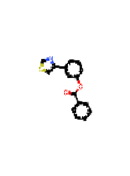 O=C(Oc1cccc(-c2cscn2)c1)c1ccccc1